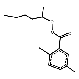 CCCCC(C)OOC(=O)c1cc(C)ccc1C